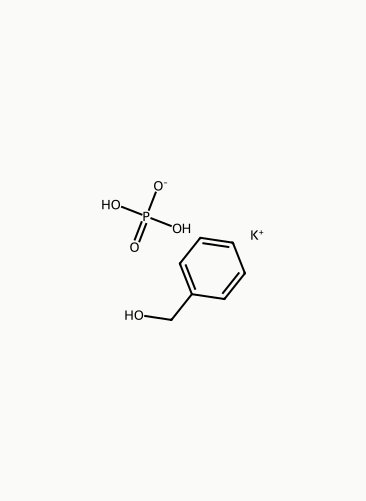 O=P([O-])(O)O.OCc1ccccc1.[K+]